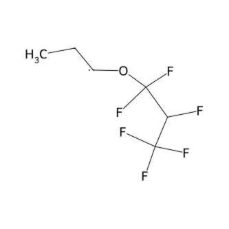 CC[CH]OC(F)(F)C(F)C(F)(F)F